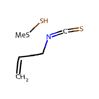 C=CCN=C=S.CSS